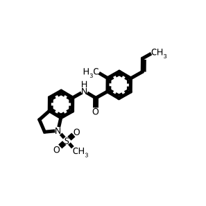 C/C=C/c1ccc(C(=O)Nc2ccc3c(c2)N(S(C)(=O)=O)CC3)c(C)c1